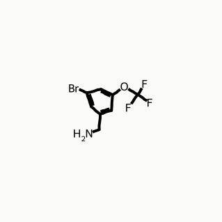 NCc1cc(Br)cc(OC(F)(F)F)c1